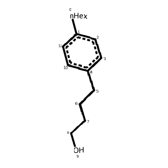 CCCCCCc1ccc(CCCCO)cc1